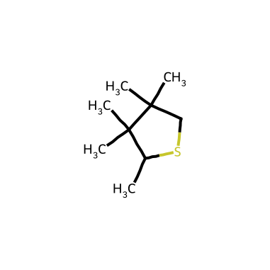 CC1SCC(C)(C)C1(C)C